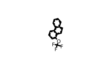 FC(F)(F)Oc1cccc2c1ccc1ccccc12